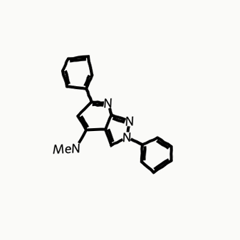 CNc1cc(-c2ccccc2)nc2nn(-c3ccccc3)cc12